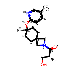 CC[C@H](CO)C(=O)N1CC2(CCC(CC)(Oc3ccc(C(F)(F)F)cn3)CC2)C1